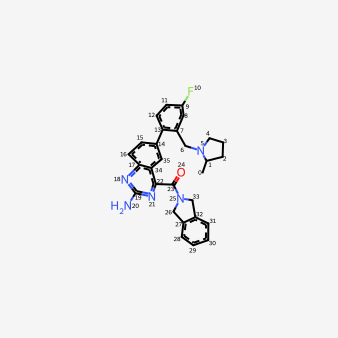 CC1CCCN1Cc1cc(F)ccc1-c1ccc2nc(N)nc(C(=O)N3Cc4ccccc4C3)c2c1